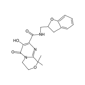 CC1(C)OCCn2c1nc(C(=O)NCC1Cc3ccccc3O1)c(O)c2=O